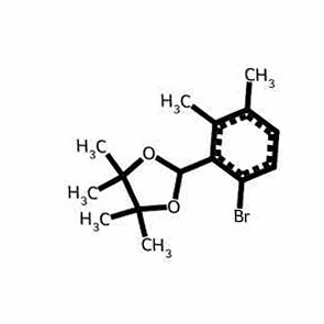 Cc1ccc(Br)c(C2OC(C)(C)C(C)(C)O2)c1C